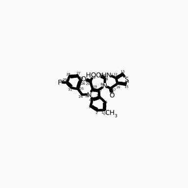 Cc1ccc2c(c1)c(-n1c(=O)[nH]c3cscc3c1=O)c(C(=O)O)n2Cc1cccc(F)c1